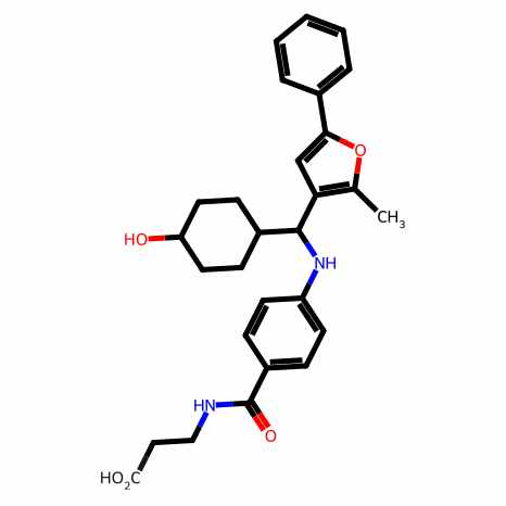 Cc1oc(-c2ccccc2)cc1C(Nc1ccc(C(=O)NCCC(=O)O)cc1)C1CCC(O)CC1